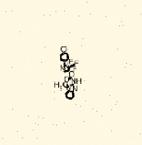 Cn1c(NC(=O)Oc2cnn(-c3ccc(Cl)cc3)c2C(F)(F)F)nc2ccccc21